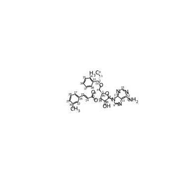 CC[C@H](OC[C@H]1O[C@@H](n2cnc3c(N)ncnc32)[C@H](O)[C@@H]1OC(=O)C=Cc1cccc(C)c1)c1ccccc1